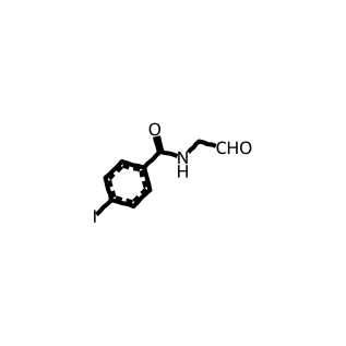 O=CCNC(=O)c1ccc(I)cc1